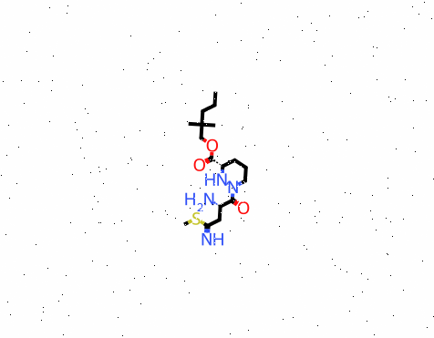 CCCC(C)(C)COC(=O)[C@@H]1CCCN(C(=O)[C@@H](N)CC(=N)SC)N1